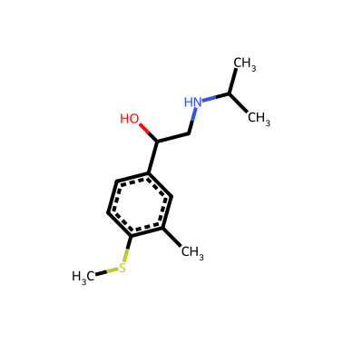 CSc1ccc(C(O)CNC(C)C)cc1C